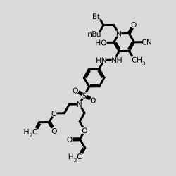 C=CC(=O)OCCN(CCOC(=O)C=C)S(=O)(=O)c1ccc(NNc2c(C)c(C#N)c(=O)n(CC(CC)CCCC)c2O)cc1